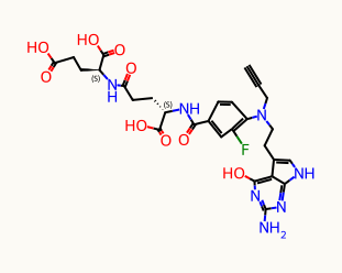 C#CCN(CCc1c[nH]c2nc(N)nc(O)c12)c1ccc(C(=O)N[C@@H](CCC(=O)N[C@@H](CCC(=O)O)C(=O)O)C(=O)O)cc1F